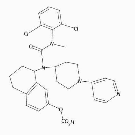 CN(C(=O)N(C1CCN(c2ccncc2)CC1)C1CCCc2ccc(OC(=O)O)cc21)c1c(Cl)cccc1Cl